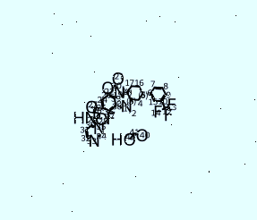 CN(C)[C@H]1C[C@@H](c2cccc(C(F)(F)F)c2)CC[C@@H]1n1c(=O)oc2cc(S(=O)(=O)Nc3ccncn3)c(F)cc21.O=CO